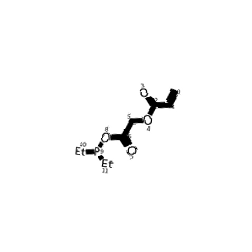 C=CC(=O)OCC(=O)OP(CC)CC